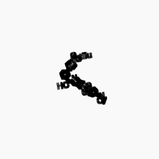 CC(C)(C)OC(=O)N1CCN(c2cccc([C@H](O)c3cc4c(cn3)CN(S(=O)(=O)c3ccc(-c5ncco5)cc3)C4)c2)CC1